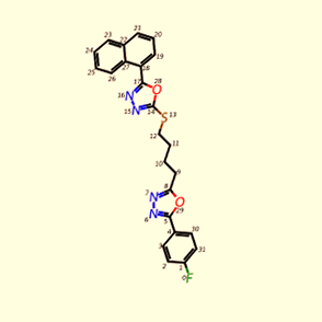 Fc1ccc(-c2nnc(CCCCSc3nnc(-c4cccc5ccccc45)o3)o2)cc1